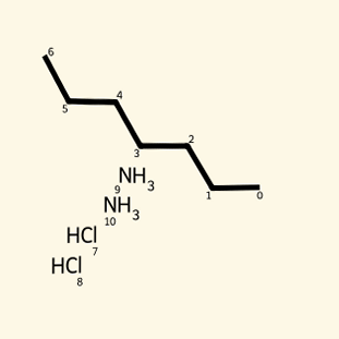 CCCCCCC.Cl.Cl.N.N